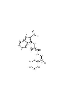 CC(C)c1nc2ccccc2n1CC(=O)NCCN(C)C1CCCCC1